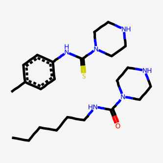 CCCCCCNC(=O)N1CCNCC1.Cc1ccc(NC(=S)N2CCNCC2)cc1